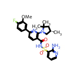 COc1cc(-c2ccc(C(=O)NS(=O)(=O)c3cccnc3N)c(N3C[C@@H](C)CC3(C)C)n2)ccc1F